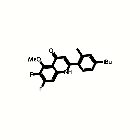 COc1c(F)c(F)cc2[nH]c(-c3ccc(C(C)(C)C)cc3C)cc(=O)c12